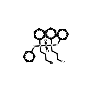 O=S(=O)(S(CCCBr)(Sc1ccccc1)c1ccccc1)S(CCCBr)(Sc1ccccc1)c1ccccc1